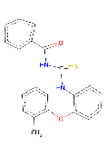 Cc1ccccc1Oc1ccccc1NC(=S)NC(=O)c1ccccc1